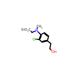 CCOC(=O)CN(C)c1ccc(CCO)cc1Cl